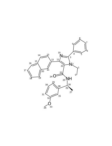 CCn1c(-c2ccccc2)nc(-c2ccc3ccccc3c2)c1C(=O)N[C@@H](C)c1cccc(OC)c1